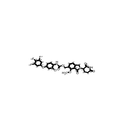 COc1c(COC(=O)Nc2ccc(Oc3cc(F)c(F)c(F)c3)cc2Cl)ccc2c1C(=O)N(C1CCC(=O)NC1=O)C2